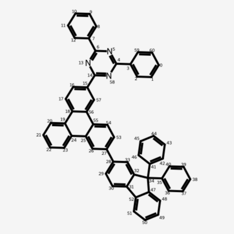 c1ccc(-c2nc(-c3ccccc3)nc(-c3ccc4c5ccccc5c5cc(-c6ccc7c(c6)C(c6ccccc6)(c6ccccc6)c6ccccc6-7)ccc5c4c3)n2)cc1